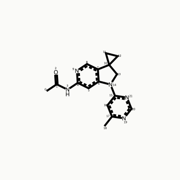 CC(=O)Nc1cc2c(cn1)C1(CC1)CN2c1cc(C)ncn1